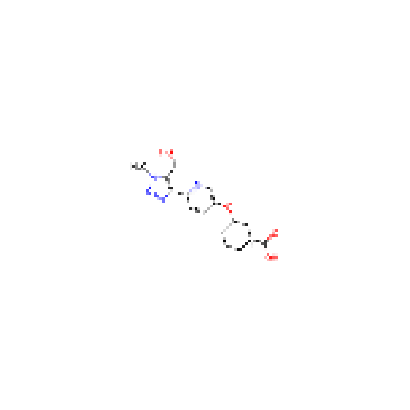 Cn1nnc(-c2ccc(OC3CCC[C@H](C(=O)O)C3)cn2)c1CO